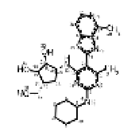 Cc1nc(NC2CCCCC2)nc(N[C@@H]2C[C@H](CO)[C@@H](O)[C@H]2O)c1-c1nc2c(C)nccc2s1